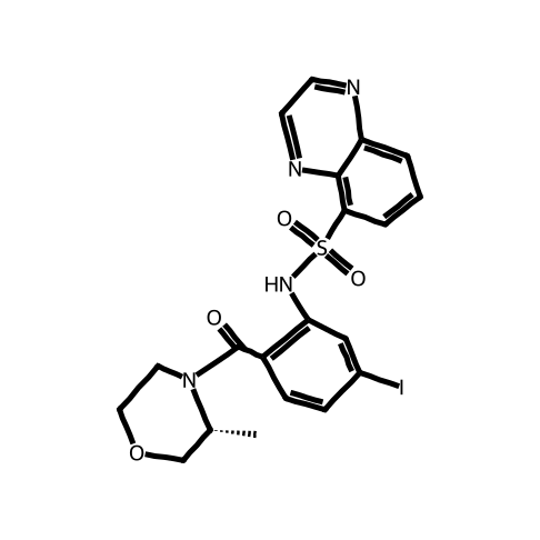 C[C@@H]1COCCN1C(=O)c1ccc(I)cc1NS(=O)(=O)c1cccc2nccnc12